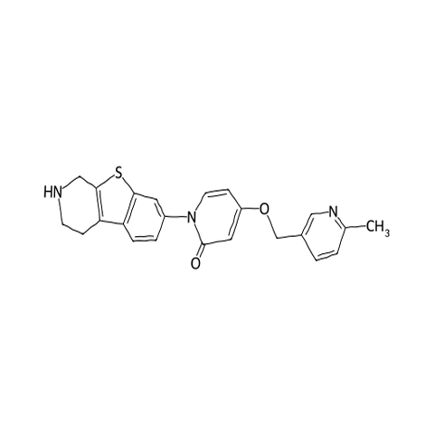 Cc1ccc(COc2ccn(-c3ccc4c5c(sc4c3)CNCC5)c(=O)c2)cn1